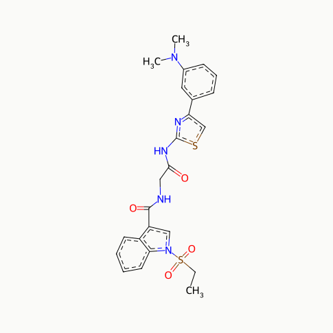 CCS(=O)(=O)n1cc(C(=O)NCC(=O)Nc2nc(-c3cccc(N(C)C)c3)cs2)c2ccccc21